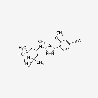 COc1cc(C#N)ccc1-c1nnc(N(C)C2CC(C)(C)N(I)C(C)(C)C2)s1